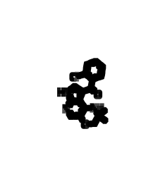 CC1(C)COc2cnc3[nH]cc(C(=O)c4ccccc4Cl)c3c2N1